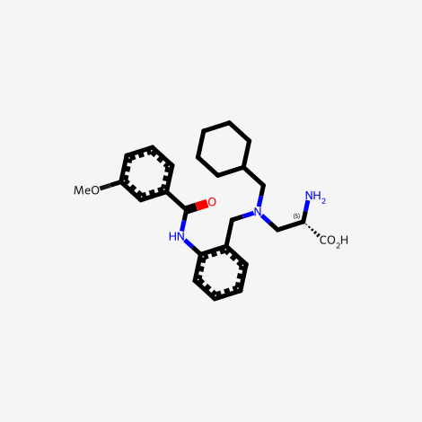 COc1cccc(C(=O)Nc2ccccc2CN(CC2CCCCC2)C[C@H](N)C(=O)O)c1